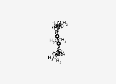 C=C(C)C(=O)OCC(CCc1ccc(C(C)(C)c2ccc(OCC(COC(=O)C(=C)C)OP(=O)(O)O)cc2)cc1)OP(=O)(O)O